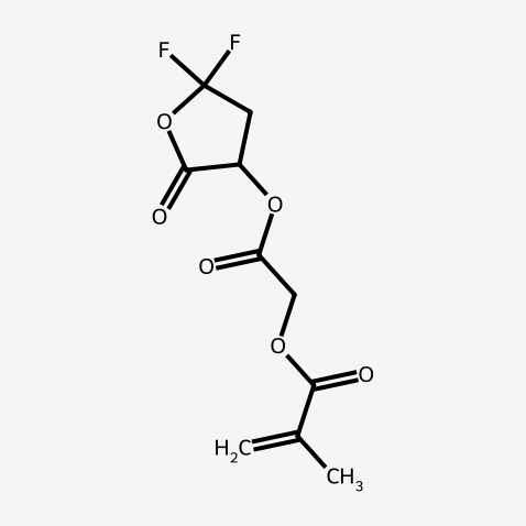 C=C(C)C(=O)OCC(=O)OC1CC(F)(F)OC1=O